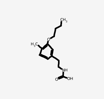 CCCCOc1cc(CCNC(=O)O)ccc1C